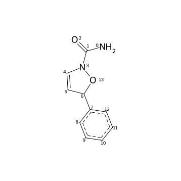 NC(=O)N1C=CC(c2ccccc2)O1